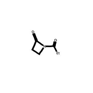 CCC(=O)N1CCC1=O